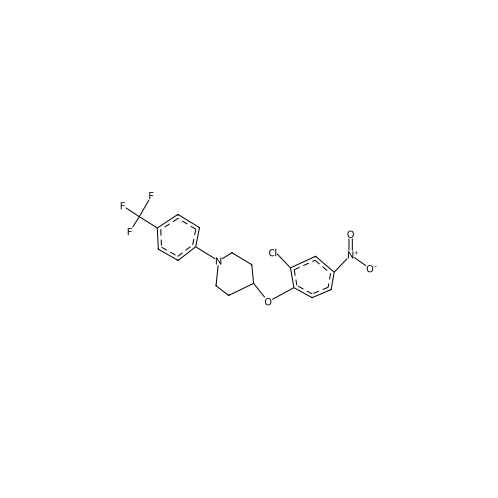 O=[N+]([O-])c1ccc(OC2CCN(c3ccc(C(F)(F)F)cc3)CC2)c(Cl)c1